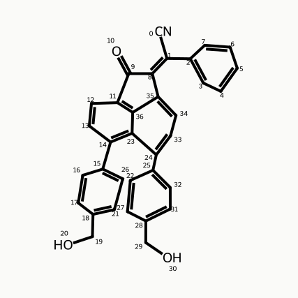 N#C/C(c1ccccc1)=c1\c(=O)c2ccc(-c3ccc(CO)cc3)c3c(-c4ccc(CO)cc4)ccc1c32